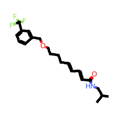 CC(C)CNC(=O)/C=C/C=C/CCCCOCc1cccc(C(F)(F)F)c1